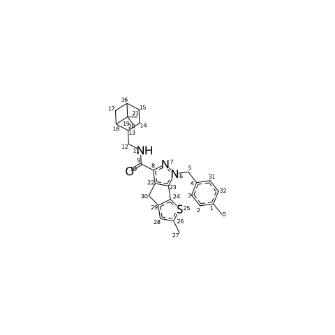 Cc1ccc(Cn2nc(C(=O)NCC3CCC4CC3C4(C)C)c3c2-c2sc(C)cc2C3)cc1